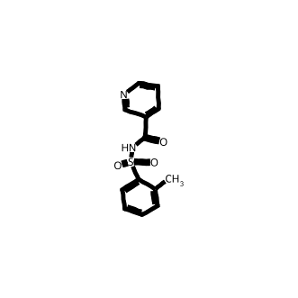 Cc1ccccc1S(=O)(=O)NC(=O)c1cccnc1